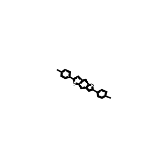 Cc1ccc(-c2cc3cc4sc(-c5ccc(C)cc5)cc4cc3s2)cc1